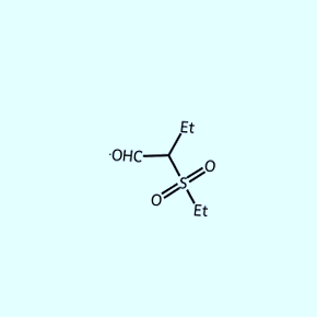 CCC([C]=O)S(=O)(=O)CC